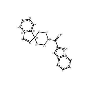 O=C(c1cc2ccccc2s1)N1CCC2(C=Cc3ncccc32)CC1